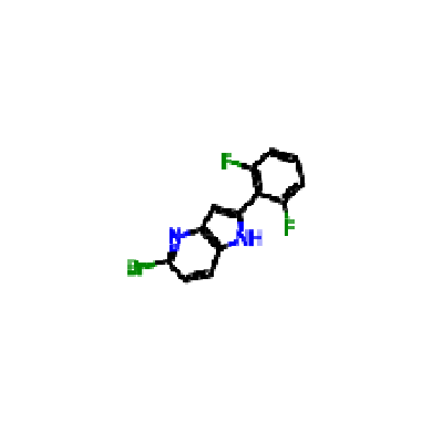 Fc1cccc(F)c1-c1cc2nc(Br)ccc2[nH]1